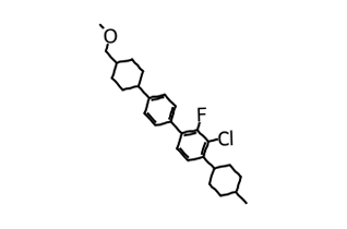 COCC1CCC(c2ccc(-c3ccc(C4CCC(C)CC4)c(Cl)c3F)cc2)CC1